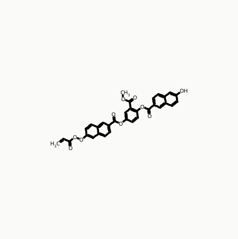 C=CC(=O)OOc1ccc2cc(C(=O)Oc3ccc(OC(=O)c4ccc5cc(O)ccc5c4)c(C(=O)OC)c3)ccc2c1